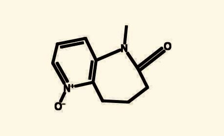 CN1C(=O)CCCc2c1ccc[n+]2[O-]